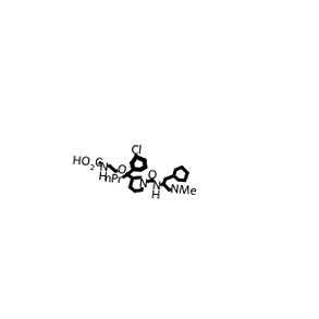 CCCC(OCCNC(=O)O)(c1cccc(Cl)c1)C1CCCN(C(=O)NC(CNC)CC2CCCCC2)C1